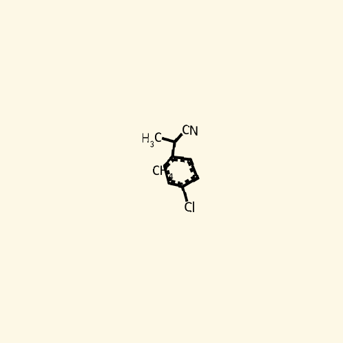 C.CC(C#N)c1ccc(Cl)cc1